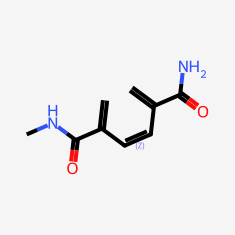 C=C(/C=C\C(=C)C(=O)NC)C(N)=O